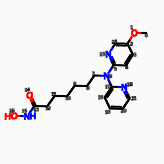 COc1ccc(N(CCCCCCC(=O)NO)c2ccccn2)nc1